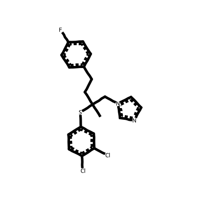 CC(CCc1ccc(F)cc1)(Cn1ccnc1)Sc1ccc(Cl)c(Cl)c1